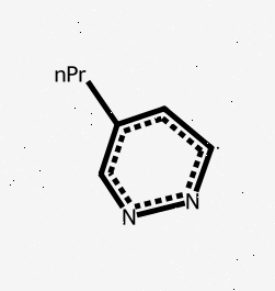 CCCc1c[c]nnc1